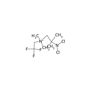 CC(C)(C[N+](C)(C)CC(F)(F)F)N(Cl)Cl